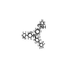 c1ccc(-c2ccc(N(c3ccc(-c4ccccc4)cc3)c3ccc(C4Nc5ccccc5O4)cc3)cc2)cc1